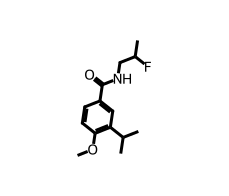 COc1ccc(C(=O)NCC(C)F)cc1C(C)C